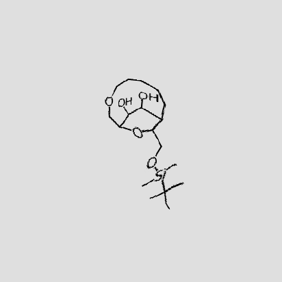 CC(C)(C)[Si](C)(C)OCC1OC2COCCCCCC1C(O)C2O